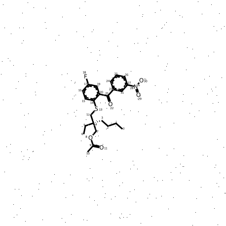 CCCC[C@@](CC)(COC(C)=O)CSc1ccc(F)cc1C(=O)c1cccc([N+](=O)[O-])c1